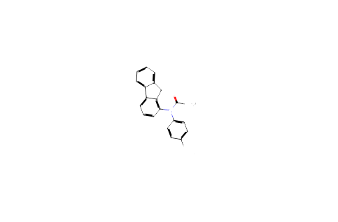 [CH2]c1ccc(N(C(=O)OC)c2cccc3c2Cc2ccccc2-3)cc1